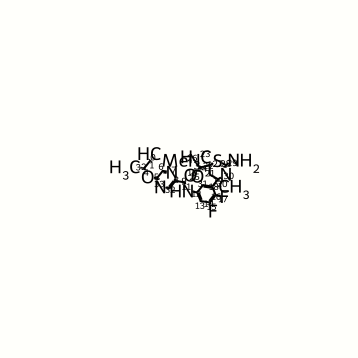 C#C[C@H](C)Oc1cnc(C(=O)Nc2cc(F)c(F)c([C@]3(C)C[C@](C)(C(=O)NC)SC(N)=N3)c2)cn1